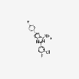 Nc1nc(-c2ccc(F)c(Cl)c2)nc2sc(-c3ccc(F)cc3)cc12